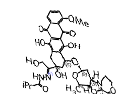 CC[C@H]1OCCN2[C@@H]1O[C@@H]1[C@H](C)O[C@@H](O[C@H]3C[C@](O)(/C(CO)=N/NC(=O)C(C)C)Cc4c(O)c5c(c(O)c43)C(=O)c3c(OC)cccc3C5=O)C[C@@H]12